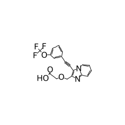 O=C(O)COCc1nc2ccccn2c1C#Cc1cccc(OC(F)(F)F)c1